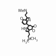 CNCCC1=C2C(=O)C=CC(C3=CC(=O)C(=O)c4c(CCN(C)C)c[nH]c43)=C2N=C1